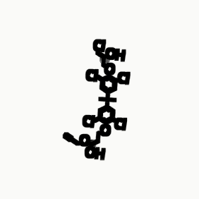 C#CCO[C@@H](O)CCOc1c(Cl)cc(C(C)(C)c2cc(Cl)c(OC[C@H](O)CCl)c(Cl)c2)cc1Cl